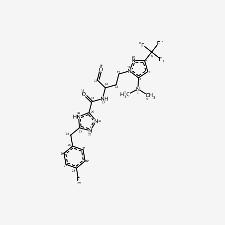 CN(C)c1cc(C(F)(F)F)nn1CCC(C=O)NC(=O)c1nnc(Cc2ccc(F)cc2)[nH]1